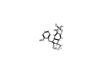 CCCc1ccccc1Sc1c(C)n(CC(=O)O)c2ccc(NS(C)(=O)=O)cc12